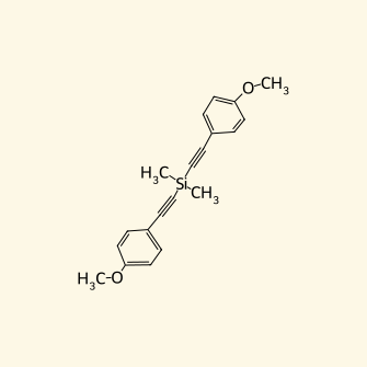 COc1ccc(C#C[Si](C)(C)C#Cc2ccc(OC)cc2)cc1